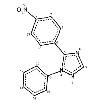 O=[N+]([O-])c1ccc(-c2ncnn2-c2ccccc2)cc1